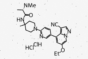 CCOc1cc(-c2ccc(N3CCC(C)(NC(=O)[C@H](C)NC)CC3)nc2)c2c(C#N)cnn2c1.Cl.Cl